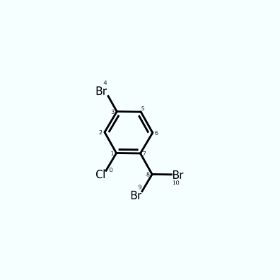 Clc1cc(Br)ccc1C(Br)Br